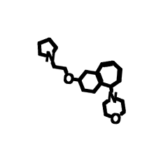 C1=CC2=C(CCC(OCCN3CCCC3)C2)C(N2CCOCC2)C=C1